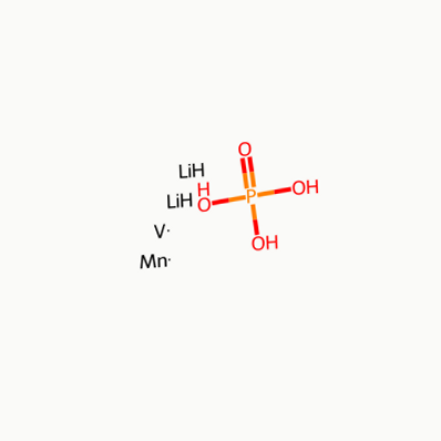 O=P(O)(O)O.[LiH].[LiH].[Mn].[V]